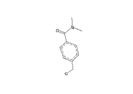 CN(C)C(=O)c1ccc(C[O])cc1